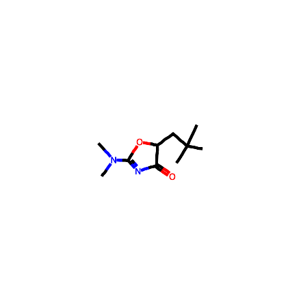 CN(C)C1=NC(=O)C(CC(C)(C)C)O1